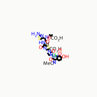 CO/N=C(\C(=O)NN1CCN([C@]2(C(=O)O)CN3C(=O)[C@@H](NC(=O)/C(=N\OC(C)(C)C(=O)O)c4csc(N)n4)[C@H]3S2)C1=O)c1ccc(O)c(O)c1Cl